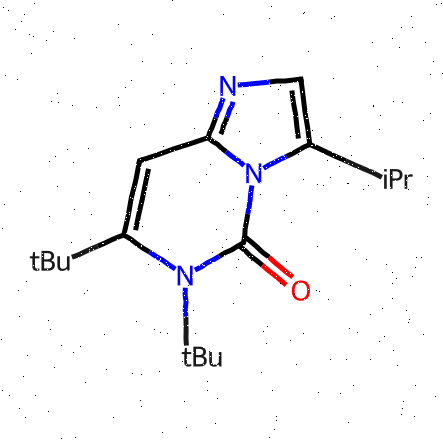 CC(C)c1cnc2cc(C(C)(C)C)n(C(C)(C)C)c(=O)n12